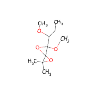 CCC(OC)C1(OC)OC12OC2(C)C